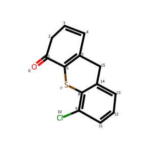 O=C1CC=CC2=C1Sc1c(Cl)cccc1C2